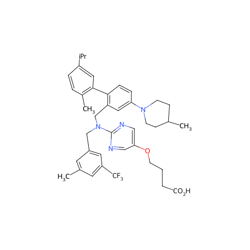 Cc1cc(CN(Cc2cc(N3CCC(C)CC3)ccc2-c2cc(C(C)C)ccc2C)c2ncc(OCCCC(=O)O)cn2)cc(C(F)(F)F)c1